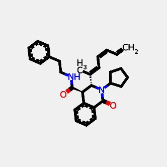 C=C/C=C\C=C(/C)[C@H]1[C@H](C(=O)NCCc2ccccc2)c2ccccc2C(=O)N1C1CCCC1